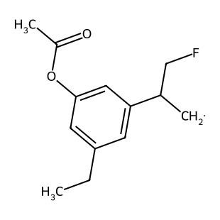 [CH2]C(CF)c1cc(CC)cc(OC(C)=O)c1